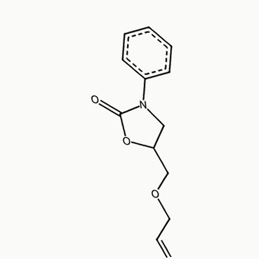 C=CCOCC1CN(c2ccccc2)C(=O)O1